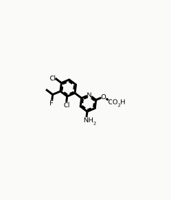 CC(F)c1c(Cl)ccc(-c2cc(N)cc(OC(=O)O)n2)c1Cl